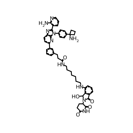 Nc1ncccc1-c1nc2ccc(-c3cccc(CCC(=O)NCCCCCCCNc4cccc5c4C(O)N(C4CCC(=O)NC4=O)C5=O)c3)nc2n1-c1ccc(C2(N)CCC2)cc1